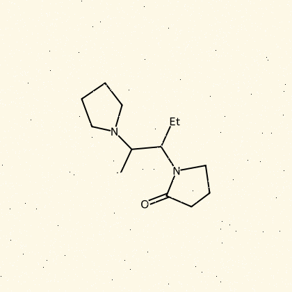 [CH2]C(C(CC)N1CCCC1=O)N1CCCC1